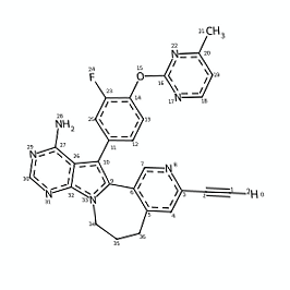 [2H]C#Cc1cc2c(cn1)-c1c(-c3ccc(Oc4nccc(C)n4)c(F)c3)c3c(N)ncnc3n1CCC2